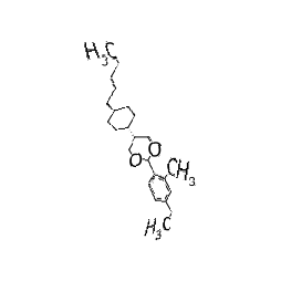 CCCCC[C@H]1CC[C@H](C2COC(c3ccc(CC)cc3C)OC2)CC1